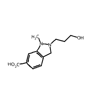 CN1c2cc(C(=O)O)ccc2CN1CCCO